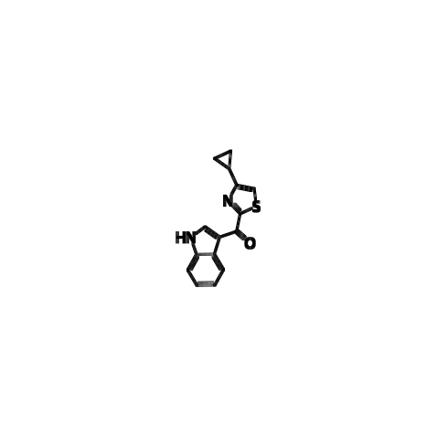 O=C(c1nc(C2CC2)cs1)c1c[nH]c2ccccc12